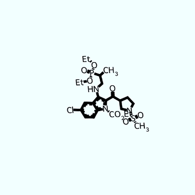 CCOC(=O)n1c(C(=O)C2CCN(S(C)(=O)=O)C2)c(NCC(C)P(=O)(OCC)OCC)c2cc(Cl)ccc21